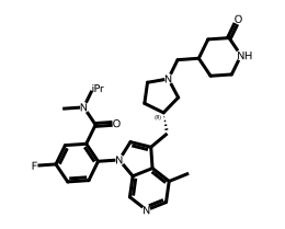 Cc1cncc2c1c(C[C@@H]1CCN(CC3CCNC(=O)C3)C1)cn2-c1ccc(F)cc1C(=O)N(C)C(C)C